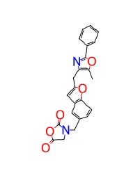 Cc1oc(-c2ccccc2)nc1Cc1cc2cc(CN3CC(=O)OC3=O)ccc2o1